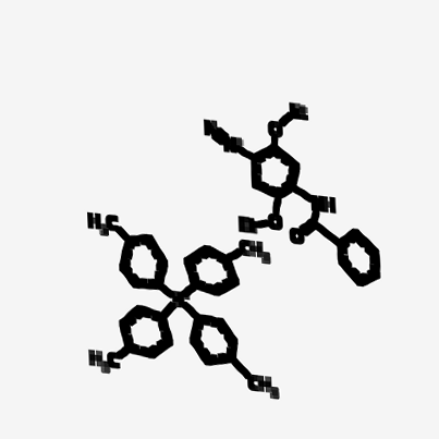 CCOc1cc(NC(=O)c2ccccc2)c(OCC)cc1[N+]#N.Cc1ccc([B-](c2ccc(C)cc2)(c2ccc(C)cc2)c2ccc(C)cc2)cc1